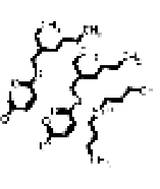 CCCCC(CC)COC(=O)/C=C\C(=O)[O-].CCCCC(CC)COC(=O)/C=C\C(=O)[O-].CCC[CH2][Sn+2][CH2]CCC